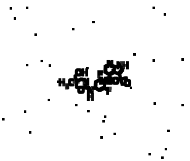 COC1(c2c[nH]c3nccc(Oc4c(F)cc(NC5=NC[C@](C)(CO)CO5)cc4F)c23)COC1